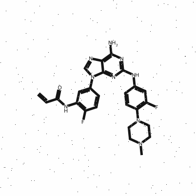 C=CC(=O)Nc1cc(-n2cnc3c(N)nc(Nc4ccc(N5CCN(C)CC5)c(F)c4)nc32)ccc1F